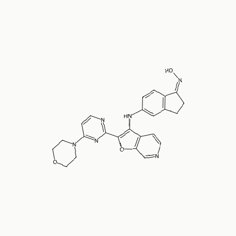 O/N=C1/CCc2cc(Nc3c(-c4nccc(N5CCOCC5)n4)oc4cnccc34)ccc21